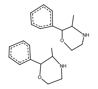 CC1NCCOC1c1ccccc1.CC1NCCOC1c1ccccc1